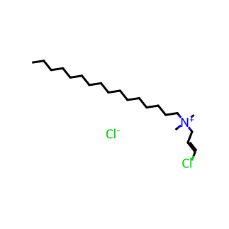 CCCCCCCCCCCCCCCC[N+](C)(C)CC=CCl.[Cl-]